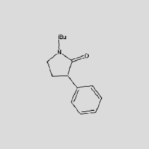 CCC(C)N1CCC(c2ccccc2)C1=O